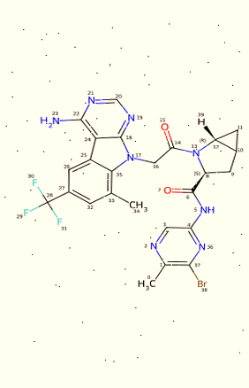 Cc1ncc(NC(=O)[C@@H]2CC3C[C@H]3N2C(=O)Cn2c3ncnc(N)c3c3cc(C(F)(F)F)cc(C)c32)nc1Br